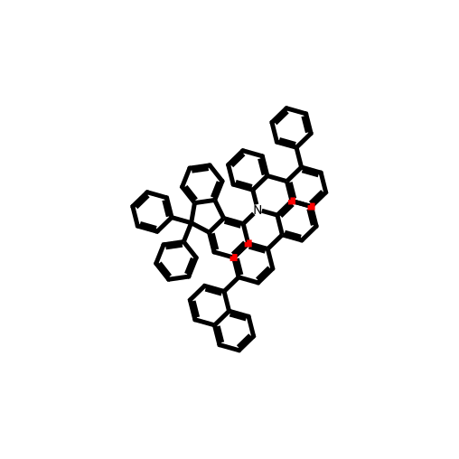 c1ccc(-c2ccccc2-c2ccccc2N(c2ccccc2-c2ccc(-c3cccc4ccccc34)cc2)c2cccc3c2-c2ccccc2C3(c2ccccc2)c2ccccc2)cc1